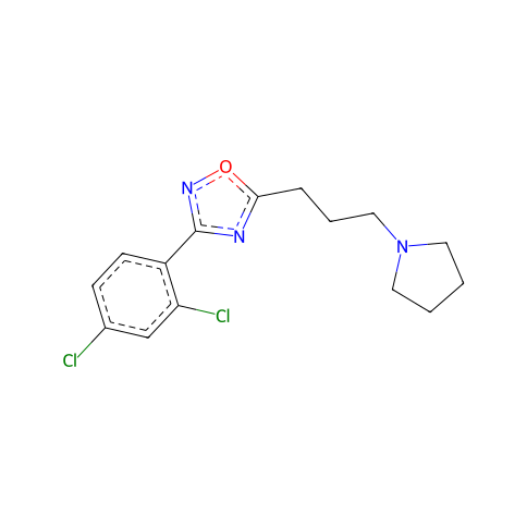 Clc1ccc(-c2noc(CCCN3CCCC3)n2)c(Cl)c1